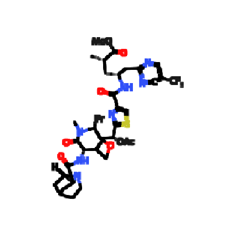 COC(=O)[C@@H](C)C[C@H](Cc1ncc(C(F)(F)F)cn1)NC(=O)c1csc([C@@H](C[C@H](C(C)C)N(C)C(=O)[C@@H](NC(=O)[C@H]2CC3CCN2CC3)C2COC2)OC(C)=O)n1